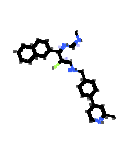 C\N=C/N=C(\C(F)=C\NCc1ccc(-c2ccnc(C)c2)cc1)c1ccc2ccccc2c1